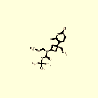 [CH2]CC1(c2ccc(Cl)nc2F)CC(N(COC)C(=O)OC(C)(C)C)C1